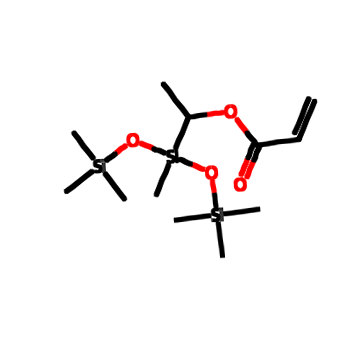 C=CC(=O)OC(C)[Si](C)(O[Si](C)(C)C)O[Si](C)(C)C